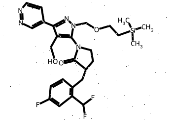 C[Si](C)(C)CCOCn1nc(-c2ccnnc2)c(CO)c1N1CCC(Cc2ccc(F)cc2C(F)F)C1=O